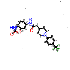 O=C(CC1CCN(c2ccc(C(F)(F)F)cc2)CC1)Nc1ccc2[nH]c(=O)oc2c1